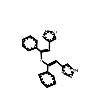 C(=C(OC(=Cc1c[nH]nn1)c1ccccc1)c1ccccc1)c1c[nH]nn1